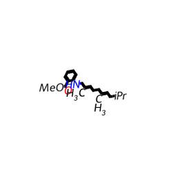 COC(=O)c1ccccc1NC/C(C)=C/CC/C(C)=C/CC(C)C